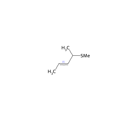 C/C=C/C(C)SC